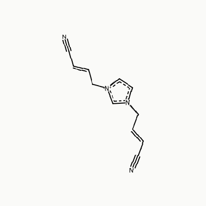 N#CC=CCn1cc[n+](CC=CC#N)c1